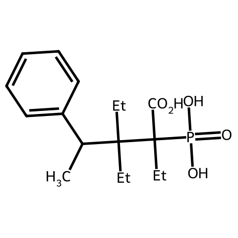 CCC(CC)(C(C)c1ccccc1)C(CC)(C(=O)O)P(=O)(O)O